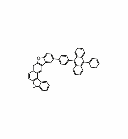 C1=CCCC(c2c3ccccc3c(-c3ccc(-c4ccc5oc6cc7ccc8oc9ccccc9c8c7cc6c5c4)cc3)c3ccccc23)=C1